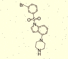 O=S(=O)(c1cccc(Br)c1)n1ccc2c(N3CCNCC3)cccc21